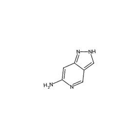 Nc1cc2n[nH]cc2cn1